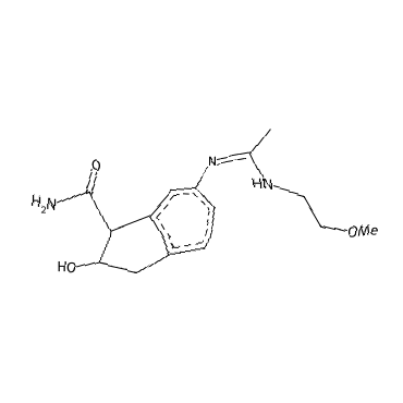 COCCNC(C)=Nc1ccc2c(c1)C(C(N)=O)C(O)C2